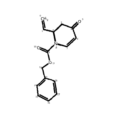 C=CC1CC(=O)C=CN1C(=O)OCc1ccccc1